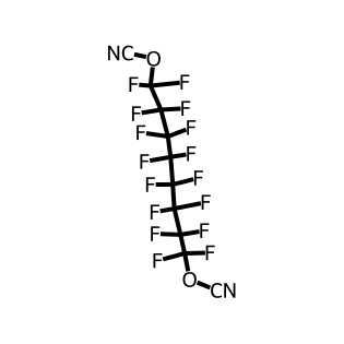 N#COC(F)(F)C(F)(F)C(F)(F)C(F)(F)C(F)(F)C(F)(F)C(F)(F)C(F)(F)OC#N